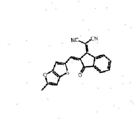 Cc1cc2sc(/C=C3\C(=O)c4ccccc4C3=C(C#N)C#N)cc2o1